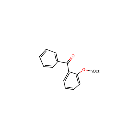 CCCCCCCCOc1ccccc1C(=O)c1ccccc1